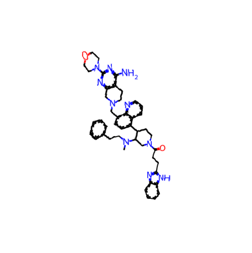 CN(CCc1ccccc1)C1CN(C(=O)CCc2nc3ccccc3[nH]2)CCC1c1ccc(CN2CCc3c(N)nc(N4CCOCC4)nc3C2)c2ncccc12